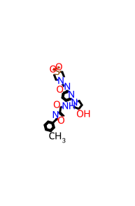 Cc1cccc(-c2nc(C(=O)Nc3cc4oc(N5CCS(=O)(=O)CC5)nc4nc3N3CCC(O)C3)co2)c1